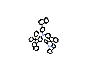 c1ccc(C2(c3ccccc3)c3cc(N(c4ccc(-c5cccc6ccccc56)cc4)c4ccc5c(c4)C4(c6ccccc6-5)c5ccccc5-n5c6ccccc6c6cccc4c65)ccc3-c3c2ccc2ccccc32)cc1